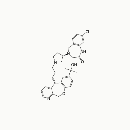 CC(C)(O)c1ccc2c(c1)C(=CCCN1CC[C@@H](N3CC(=O)Nc4cc(Cl)ccc4C3)C1)c1cccnc1CO2